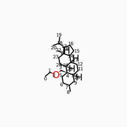 CCOC[C@]12CCC(C)C[C@@H]1CC[C@H]1[C@@H]3CC[C@H](C(C)C)[C@@]3(C)CC[C@@H]12